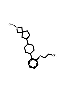 O=CN1CC2(CCC(N3CCC(c4ccccc4OCCC(F)(F)F)CC3)C2)C1